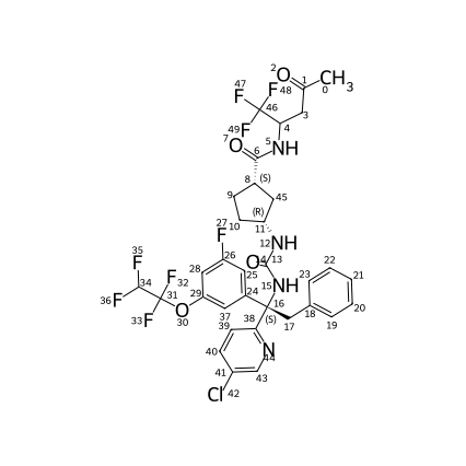 CC(=O)CC(NC(=O)[C@H]1CC[C@@H](NC(=O)N[C@@](Cc2ccccc2)(c2cc(F)cc(OC(F)(F)C(F)F)c2)c2ccc(Cl)cn2)C1)C(F)(F)F